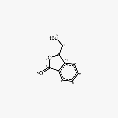 CC(C)(C)CC1OC(=O)c2ccccc21